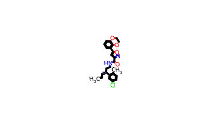 C=C/C=C(/CCNC(=O)c1cc(-c2cccc3c2OCCO3)on1)c1cc(Cl)ccc1C